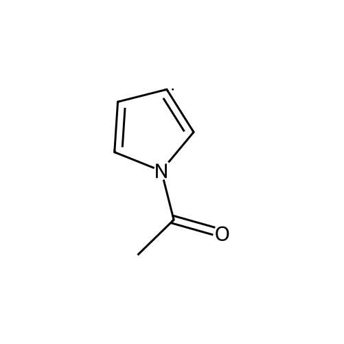 CC(=O)n1c[c]cc1